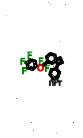 CCCC1CCC(C2CCC23CCCC(C(F)(F)Oc2cc(F)c(F)c(F)c2)C3)CC1